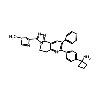 Cn1cnc(-c2nnc3n2CCc2nc(-c4ccc(C5(N)CCC5)cc4)c(-c4ccccc4)cc2-3)c1